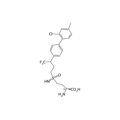 Cc1ccc(-c2ccc(C(CCS(=N)(=O)CC[C@H](N)C(=O)O)C(F)(F)F)cc2)c(Cl)c1